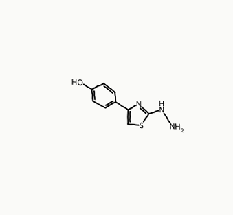 NNc1nc(-c2ccc(O)cc2)cs1